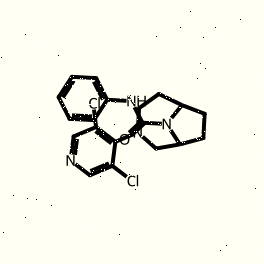 O=C(Nc1ccccc1)N1C2CCC1CN(c1c(Cl)cncc1Cl)CC2